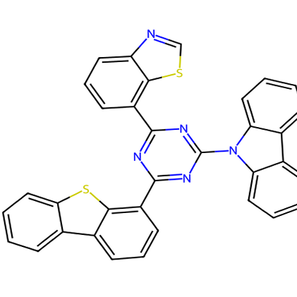 c1cc(-c2nc(-c3cccc4c3sc3ccccc34)nc(-n3c4ccccc4c4ccccc43)n2)c2scnc2c1